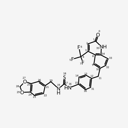 O=c1cc(C(F)(F)F)c2cc(Cc3ccc(NC(=S)NCc4ccc5c(c4)OCO5)cc3)ccc2[nH]1